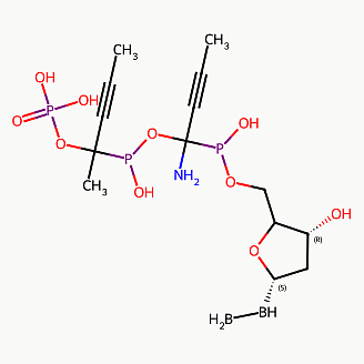 BB[C@H]1C[C@@H](O)C(COP(O)C(N)(C#CC)OP(O)C(C)(C#CC)OP(=O)(O)O)O1